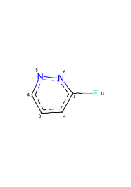 Fc1cc[c]nn1